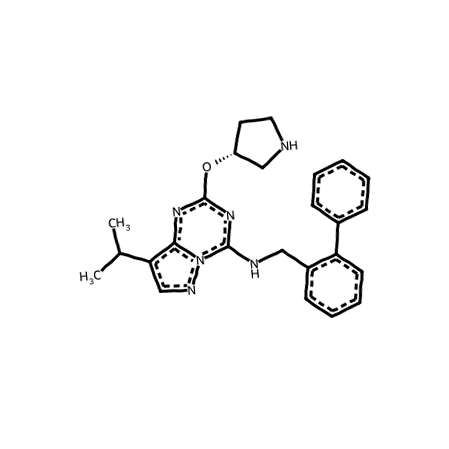 CC(C)c1cnn2c(NCc3ccccc3-c3ccccc3)nc(O[C@@H]3CCNC3)nc12